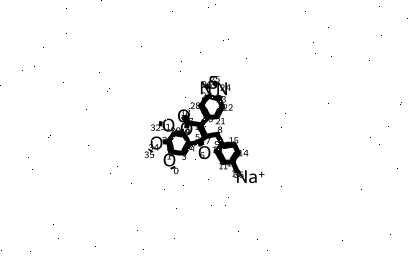 COc1cc(C(=O)C(Cc2ccc(C)cc2)=C(C(=O)[O-])c2ccc3nsnc3c2)cc(OC)c1OC.[Na+]